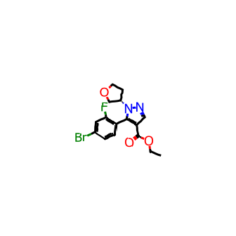 CCOC(=O)c1cnn([C@H]2CCOC2)c1-c1ccc(Br)cc1F